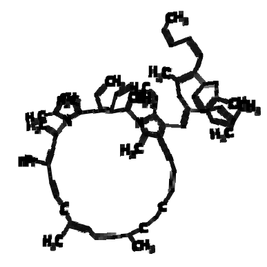 C=C/C1=C(\C=C/C)C(=C)n2c(C=C)c(/C=C3\C\C(C)=C(\C=C/C=C\C)C(/C=C\C=C/C)=C/C(C)=C3/C=C\C)/c(c2=C)=C/C=C\CCCC(C)/C=C\C=C(/C)C/C=C\C(CCC)=C/C(=C)N(C(=C)C)C1=C